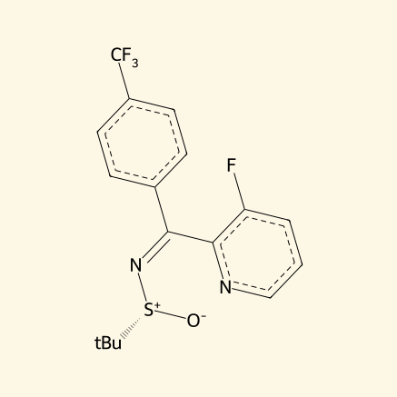 CC(C)(C)[S@@+]([O-])/N=C(/c1ccc(C(F)(F)F)cc1)c1ncccc1F